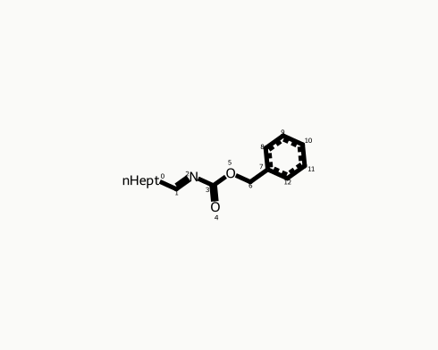 CCCCCCCC=NC(=O)OCc1ccccc1